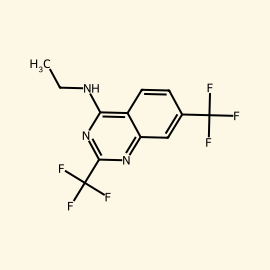 CCNc1nc(C(F)(F)F)nc2cc(C(F)(F)F)ccc12